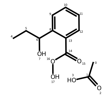 CC(=O)O.CCC(O)c1ccccc1C(=O)OO